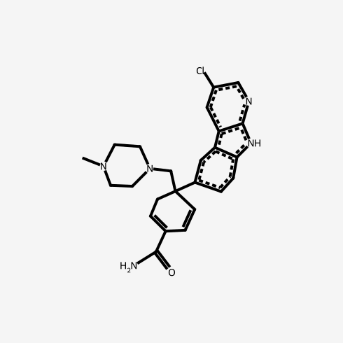 CN1CCN(CC2(c3ccc4[nH]c5ncc(Cl)cc5c4c3)C=CC(C(N)=O)=CC2)CC1